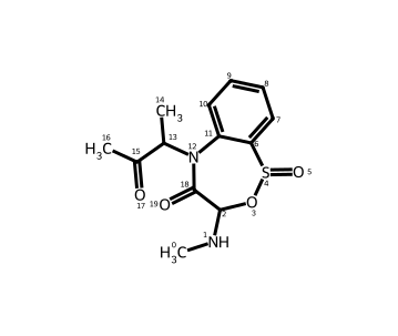 CNC1OS(=O)c2ccccc2N(C(C)C(C)=O)C1=O